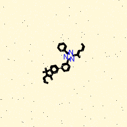 C/C=C\C=C(/C)c1nc(C2=C[C@H](c3ccc4c(c3)C(C)=C(/C=C\C)C4(C)C)CC=C2)nc(C2=CC=CCC2)n1